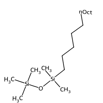 CCCCCCCCCCCCC[Si](C)(C)O[Si](C)(C)C